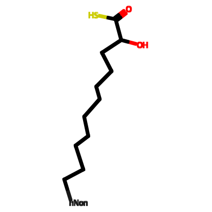 CCCCCCCCCCCCCCCCCCC(O)C(=O)S